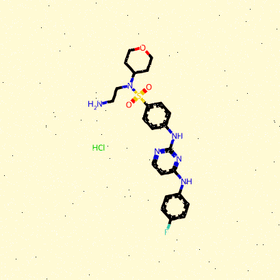 Cl.NCCN(C1CCOCC1)S(=O)(=O)c1ccc(Nc2nccc(Nc3ccc(F)cc3)n2)cc1